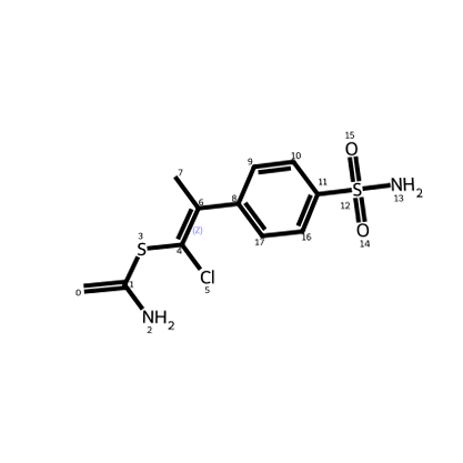 C=C(N)S/C(Cl)=C(\C)c1ccc(S(N)(=O)=O)cc1